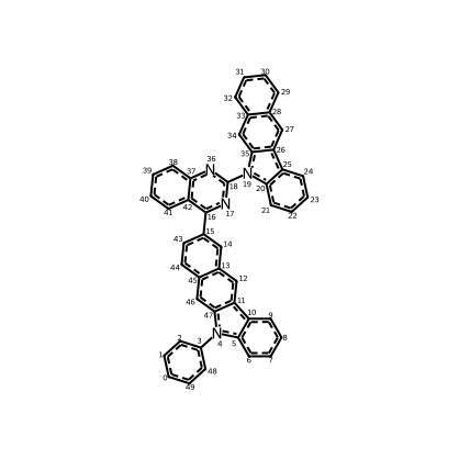 c1ccc(-n2c3ccccc3c3cc4cc(-c5nc(-n6c7ccccc7c7cc8ccccc8cc76)nc6ccccc56)ccc4cc32)cc1